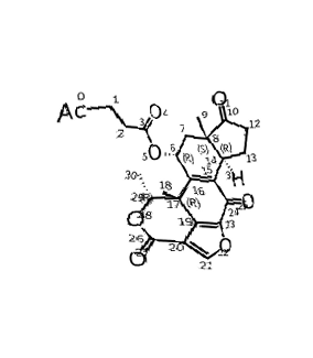 CC(=O)CCC(=O)O[C@@H]1C[C@]2(C)C(=O)CC[C@H]2C2=C1[C@]1(C)c3c(coc3C2=O)C(=O)O[C@@H]1C